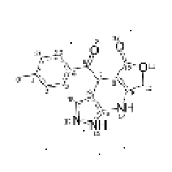 Cc1ccc(C(=O)C2C3=C(COC3=O)Nc3[nH]ncc32)cc1